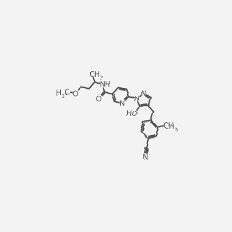 COCCC(C)NC(=O)c1ccc(-n2ncc(Cc3ccc(C#N)cc3C)c2O)nc1